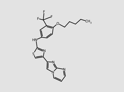 CCCCCOc1ccc(Nc2nc(-c3cn4cccnc4n3)cs2)cc1C(F)(F)F